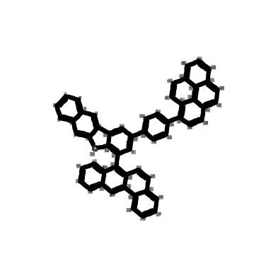 c1ccc2cc3c(cc2c1)oc1c(-c2c4ccccc4cc4c2ccc2ccccc24)cc(-c2ccc(-c4ccc5ccc6cccc7ccc4c5c67)cc2)cc13